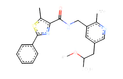 COc1ncc(CC(OC(C)C)C(=O)O)cc1CNC(=O)c1nc(-c2ccccc2)sc1C